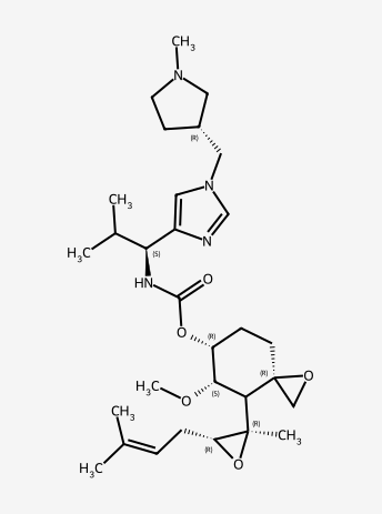 CO[C@H]1C([C@@]2(C)O[C@@H]2CC=C(C)C)[C@]2(CC[C@H]1OC(=O)N[C@H](c1cn(C[C@@H]3CCN(C)C3)cn1)C(C)C)CO2